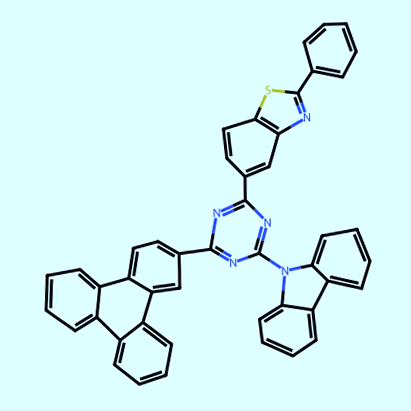 c1ccc(-c2nc3cc(-c4nc(-c5ccc6c7ccccc7c7ccccc7c6c5)nc(-n5c6ccccc6c6ccccc65)n4)ccc3s2)cc1